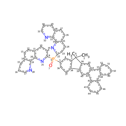 CC1(C)c2cc(P(=O)(c3ccc4ccc5cccnc5c4n3)c3ccc4ccc5cccnc5c4n3)ccc2-c2cc3c4ccccc4c4ccccc4c3cc21